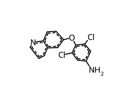 Nc1cc(Cl)c(Oc2ccc3ncccc3c2)c(Cl)c1